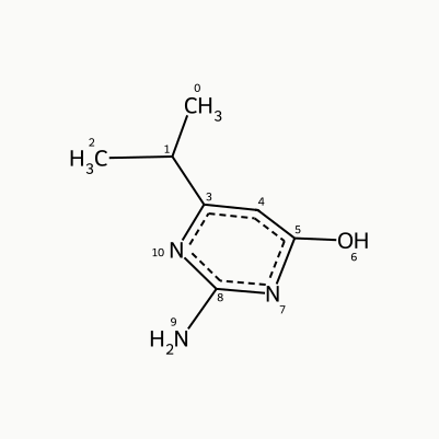 CC(C)c1cc(O)nc(N)n1